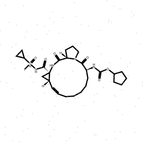 O=C(N[C@H]1CCCCC/C=C\[C@@H]2C[C@@]2(C(=O)N[SH](=O)(I)C2CC2)NC(=O)[C@@H]2CCCN2C1=O)OC1CCCC1